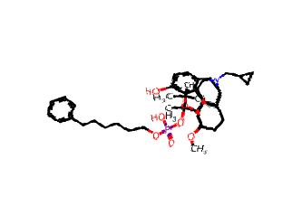 COC12CCC3(CC1C(C)(OP(=O)(O)OCCCCCCc1ccccc1)C(C)(C)C)C1Cc4ccc(O)c5c4C3(CCN1CC1CC1)C2O5